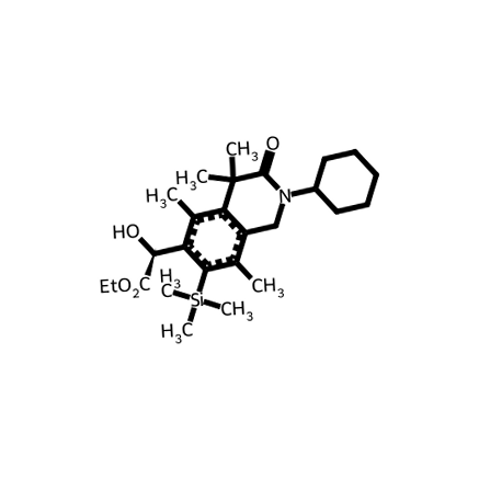 CCOC(=O)[C@@H](O)c1c(C)c2c(c(C)c1[Si](C)(C)C)CN(C1CCCCC1)C(=O)C2(C)C